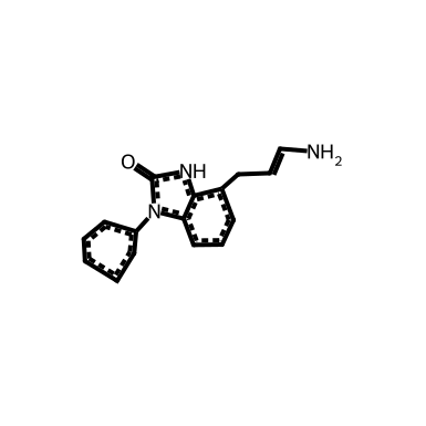 NC=CCc1cccc2c1[nH]c(=O)n2-c1ccccc1